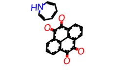 C1=CC=CNC=C1.O=c1c(=O)c2cccc3c2-c2c1cccc2c(=O)c3=O